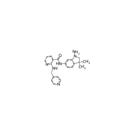 CC1(C)CN(N)c2cc(NC(=O)c3cccnc3NCc3ccncc3)ccc21